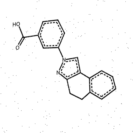 O=C(O)c1cccc(-n2cc3c(n2)CCc2ccccc2-3)c1